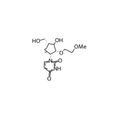 COCCO[C@H]1C(O)[C@@H](CO)S[C@H]1n1ccc(=O)[nH]c1=O